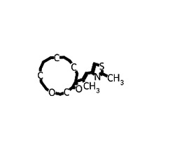 CC(=Cc1csc(C)n1)C12CCCCCCCCCCCOCCC1O2